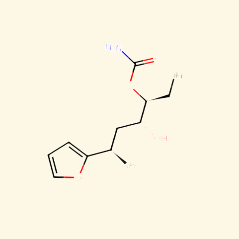 CC(C)C[C@H](OC(N)=O)[C@H](O)C[C@H](c1ccco1)C(C)C